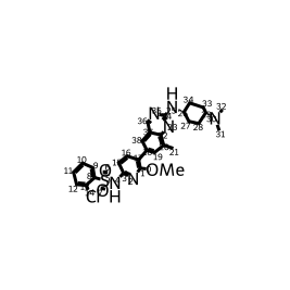 COc1nc(NS(=O)(=O)c2ccccc2Cl)ccc1-c1cc(C)c2nc(N[C@H]3CC[C@@H](N(C)C)CC3)ncc2c1